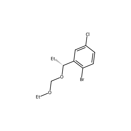 CCOCO[C@H](CC)c1cc(Cl)ccc1Br